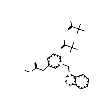 NNC(=O)Cc1ccc[n+](Cn2nnc3ccccc32)c1.O=C(O)C(F)(F)F.O=C([O-])C(F)(F)F